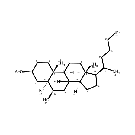 CC(=O)O[C@H]1CC[C@]2(C)[C@H]3CC[C@]4(C)[C@@H](C(C)CCCC(C)C)CC[C@H]4[C@@H]3C[C@@H](O)[C@@]2(Br)C1